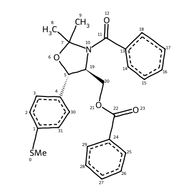 CSc1ccc([C@@H]2OC(C)(C)N(C(=O)c3ccccc3)[C@H]2COC(=O)c2ccccc2)cc1